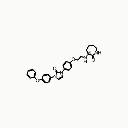 O=C1NCCCC[C@@H]1NCCOc1ccc(-n2ccn(-c3ccc(Oc4ccccc4)cc3)c2=O)cc1